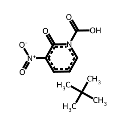 CC(C)(C)C.O=C(O)n1cccc([N+](=O)[O-])c1=O